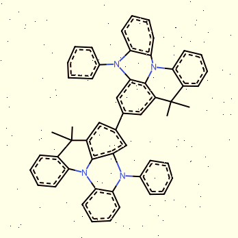 CC1(C)c2ccccc2N2c3ccccc3N(c3ccccc3)c3cc(-c4cc5c6c(c4)C(C)(C)c4ccccc4N6c4ccccc4N5c4ccccc4)cc1c32